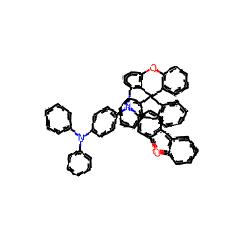 c1ccc(N(c2ccccc2)c2ccc(N(c3ccc4c(c3)oc3ccccc34)c3cccc4c3C3(c5ccccc5O4)c4ccccc4-c4ccccc43)cc2)cc1